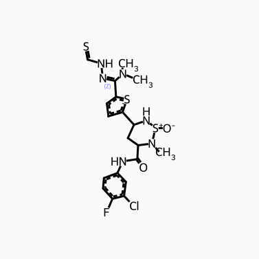 CN(C)/C(=N\NC=S)c1ccc(C2CC(C(=O)Nc3ccc(F)c(Cl)c3)N(C)[S+]([O-])N2)s1